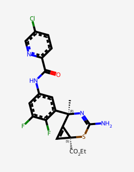 CCOC(=O)[C@]12C=C1[C@@](C)(c1cc(NC(=O)c3ccc(Cl)cn3)cc(F)c1F)N=C(N)S2